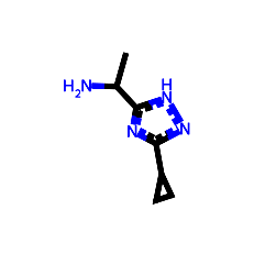 CC(N)c1nc(C2CC2)n[nH]1